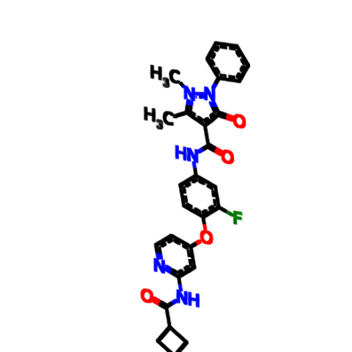 Cc1c(C(=O)Nc2ccc(Oc3ccnc(NC(=O)C4CCC4)c3)c(F)c2)c(=O)n(-c2ccccc2)n1C